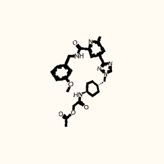 COc1cccc(CNC(=O)c2cc(-c3ncn(C[C@H]4CC[C@H](NC(=O)COC(C)=O)CC4)n3)cc(C)n2)c1